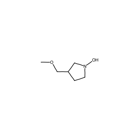 COCC1CCN(O)C1